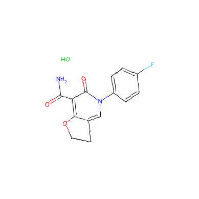 Cl.NC(=O)c1c2c(cn(-c3ccc(F)cc3)c1=O)CCO2